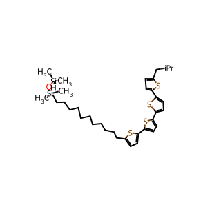 CC(C)Cc1ccc(-c2ccc(-c3ccc(-c4ccc(CCCCCCCCCCC[Si](C)(C)O[SiH](C)C)s4)s3)s2)s1